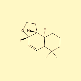 CC1(C)CCC[C@@]2(C)C1C=C[C@]1(I)OCC[C@H]21